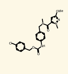 COc1cc(C(=O)N(C)Cc2ccc(NC(=O)OCc3ccc(Cl)cc3)cc2)n(C)n1